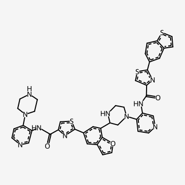 O=C(Nc1cnccc1N1CCNCC1)c1csc(-c2cc(C3CN(c4ccncc4NC(=O)c4csc(-c5ccc6sccc6c5)n4)CCN3)c3occc3c2)n1